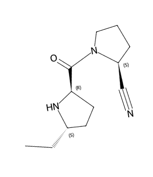 CC[C@H]1CC[C@H](C(=O)N2CCC[C@H]2C#N)N1